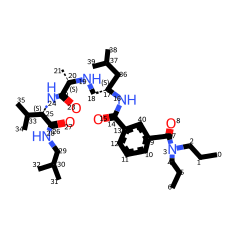 CCCN(CCC)C(=O)c1cccc(C(=O)N[C@H](CN[C@@H](C)C(=O)N[C@H](C(=O)NCC(C)C)C(C)C)CC(C)C)c1